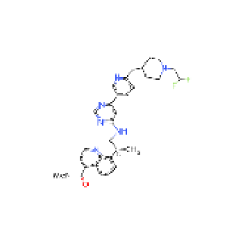 CNC(=O)c1ccnc2c([C@H](C)CNc3cc(-c4ccc(CC5CCN(CC(F)F)CC5)nc4)ncn3)cccc12